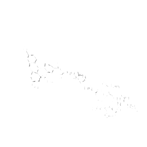 CC(=O)N[C@H]1[C@H]([C@H](OC(=O)NCc2cn(CNC(=S)Nc3ccc(-c4c5ccc(=O)cc-5oc5cc(O)ccc45)c(C(=O)O)c3)nn2)[C@H](O)CO)OC(C(=O)O)=C[C@@H]1NC(=N)N